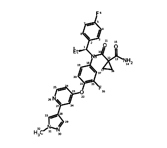 CC[C@@H](c1ccc(F)cc1)N(C(=O)C1(C(N)=O)CC1)c1ccc(Oc2ccnc(-c3cnn(C)c3)c2)c(F)c1